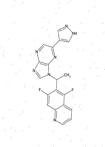 CC(c1c(F)cc2ncccc2c1F)n1cnc2ncc(-c3cn[nH]c3)nc21